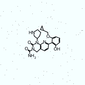 NC(=O)N1Cc2ccc(-c3c(O)cccc3OCC3CC3)nc2N(C2CCCNC2)C1=O